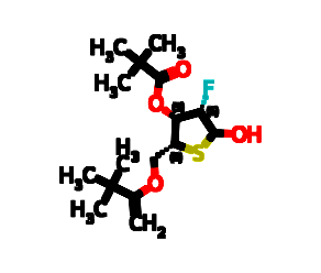 C=C(OC[C@H]1SC(O)[C@@H](F)[C@@H]1OC(=O)C(C)(C)C)C(C)(C)C